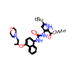 COC(=O)c1[nH]c(C(C)(C)C)cc1NC(=O)Nc1ccc(OC(C)CN2CCOCC2)c2ccccc12